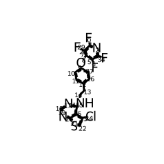 Fc1nc(F)c(F)c(Oc2ccc(CCNc3ncnc4scc(Cl)c34)cc2)c1F